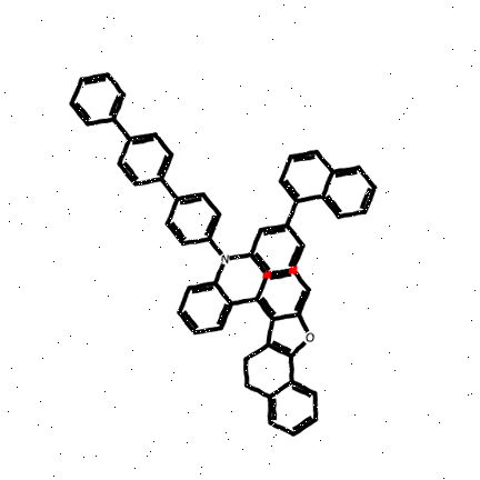 c1ccc(-c2ccc(-c3ccc(N(c4cccc(-c5cccc6ccccc56)c4)c4ccccc4-c4cccc5oc6c(c45)CCc4ccccc4-6)cc3)cc2)cc1